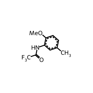 COc1ccc(C)cc1NC(=O)C(F)(F)F